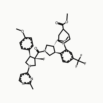 COC[C@H]1CN(C(=O)[C@]2(F)CN(c3ccnc(C)n3)C[C@H]2c2ccc(OC)cc2)C[C@@H]1c1ccc(C(F)(F)F)cc1N1CCC(C(=O)OC)CC1